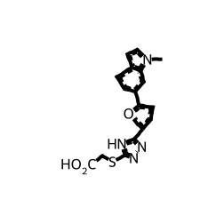 Cn1ccc2ccc(-c3ccc(-c4nnc(SCC(=O)O)[nH]4)o3)cc21